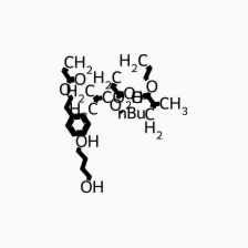 C=C(C)C(=O)O.C=CC(=O)OCCCC.C=CC(=O)OCCc1ccccc1.C=CCOC(=O)C(=C)C.OCCCCO